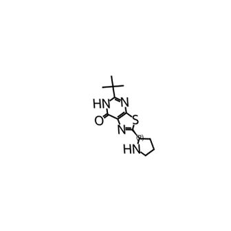 CC(C)(C)c1nc2sc([C@H]3CCCN3)nc2c(=O)[nH]1